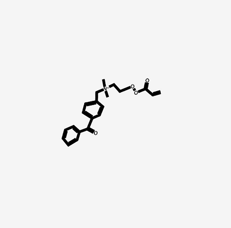 C=CC(=O)OOCC[N+](C)(C)Cc1ccc(C(=O)c2ccccc2)cc1